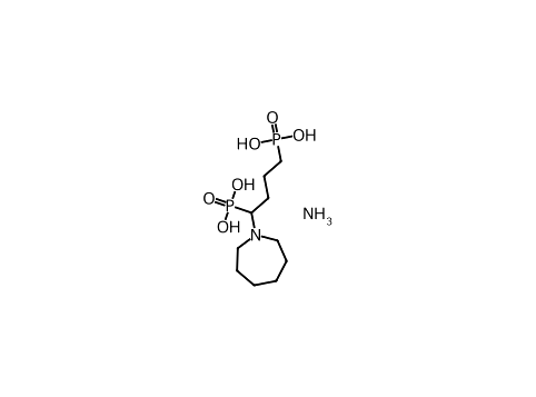 N.O=P(O)(O)CCCC(N1CCCCCC1)P(=O)(O)O